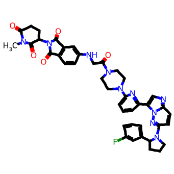 CN1C(=O)CCC(N2C(=O)c3ccc(NCC(=O)N4CCN(c5cccc(-c6cnc7ccc(N8CCCC8c8cccc(F)c8)nn67)n5)CC4)cc3C2=O)C1=O